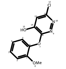 COc1ccccc1Oc1nnc(Cl)cc1O